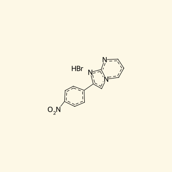 Br.O=[N+]([O-])c1ccc(-c2cn3cccnc3n2)cc1